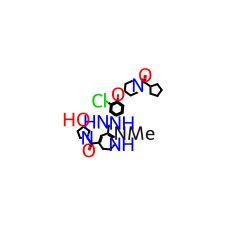 CNC1=C(C(=N)Nc2ccc(OC3CCN(C(=O)C4CCCC4)CC3)c(Cl)c2)C=C(C(=O)N2CCC(O)C2)CCN1